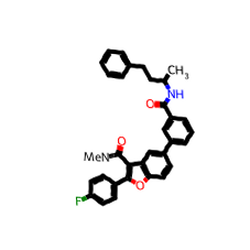 CNC(=O)c1c(-c2ccc(F)cc2)oc2ccc(-c3cccc(C(=O)NC(C)CCc4ccccc4)c3)cc12